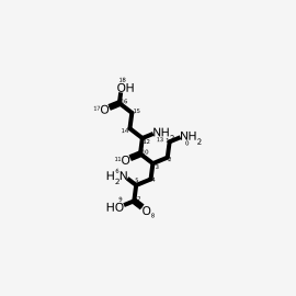 NCCC(CC(N)C(=O)O)C(=O)C(N)CCC(=O)O